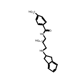 O=C(O)c1ccc(C(=O)NC[C@@H](O)CNC2Cc3ccccc3C2)cc1